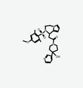 COc1cc(C)c(S(=O)(=O)N2CCn3cccc3C2CC(=O)N2CCC(O)(c3cccnc3)CC2)c(C)c1